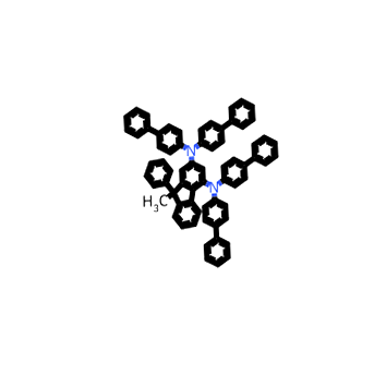 CC1(c2ccccc2)c2ccccc2-c2c(N(c3ccc(-c4ccccc4)cc3)c3ccc(-c4ccccc4)cc3)cc(N(c3ccc(-c4ccccc4)cc3)c3ccc(-c4ccccc4)cc3)cc21